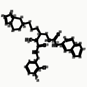 CN(C(=O)NCc1cccc(F)c1Cl)[C@@H](CCCN1CCn2cnnc2C1)COC(=O)Nc1cc2ccccc2cn1